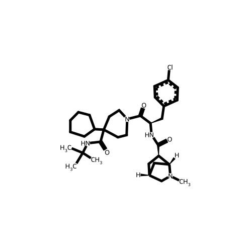 CN1C[C@H]2C[C@@H]1[C@H](C(=O)N[C@H](Cc1ccc(Cl)cc1)C(=O)N1CCC(C(=O)NC(C)(C)C)(C3CCCCC3)CC1)C2